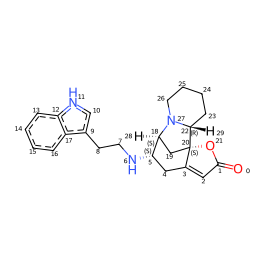 O=C1C=C2C[C@H](NCCc3c[nH]c4ccccc34)[C@@H]3C[C@@]2(O1)[C@H]1CCCCN31